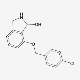 OC1NCc2cccc(OCc3ccc(Cl)cc3)c21